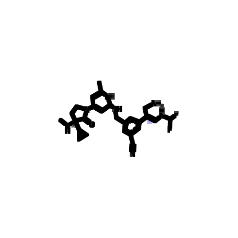 CN[C@@]1(C2CC2)CCN(C2=CC(NCc3cc(C#N)cc(/C(=C/NC(F)F)CN)c3)NC(C)=C2)C1=O